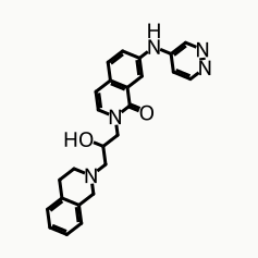 O=c1c2cc(Nc3ccnnc3)ccc2ccn1CC(O)CN1CCc2ccccc2C1